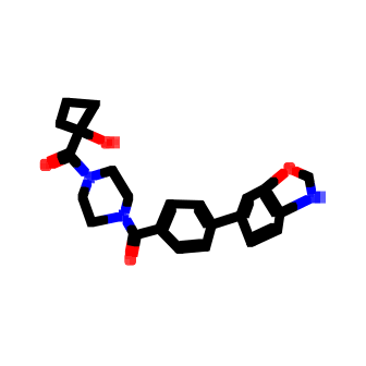 O=C(c1ccc(-c2ccc3c(c2)OCN3)cc1)N1CCN(C(=O)C2(O)CCC2)CC1